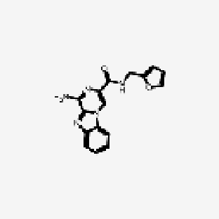 Nc1nc(C(=O)NCc2ccco2)cn2c1nc1ccccc12